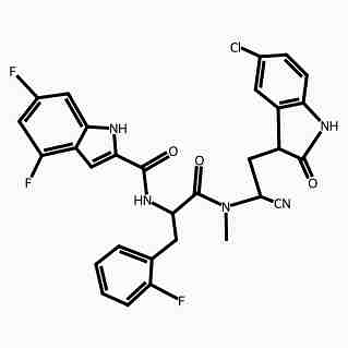 CN(C(=O)C(Cc1ccccc1F)NC(=O)c1cc2c(F)cc(F)cc2[nH]1)C(C#N)CC1C(=O)Nc2ccc(Cl)cc21